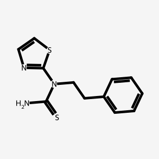 NC(=S)N(CCc1ccccc1)c1nccs1